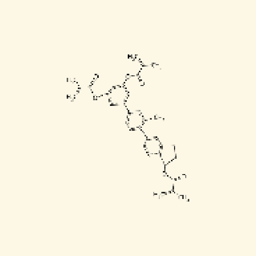 C=C(C)C(=O)Oc1cc(OC(=O)C(=C)C)cc(-c2ccc(-c3ccc4c(c3)CCC4OC(=O)C(=C)C)c(C)c2)c1